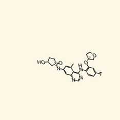 Cc1cc(N=S2(=O)CCC(O)C2)cc2ncnc(Nc3ccc(F)cc3O[C@H]3CCOC3)c12